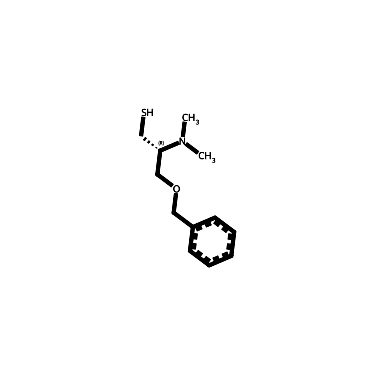 CN(C)[C@@H](CS)COCc1ccccc1